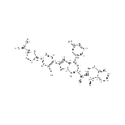 C[C@@H]1c2ccccc2CCN1C(=O)c1cc(-c2cncc(F)c2)n2nc(-c3ccc(N4CC[C@H](C(=O)O)C4)cc3F)cc2n1